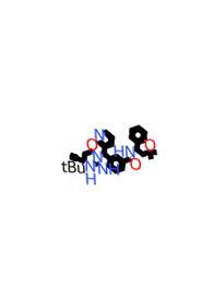 C#C[C@@]1(C(C)(C)C)CC(=O)N(C(c2cccnc2)c2cccc(C(=O)N[C@H]3CC(C)(C)Oc4ccccc43)c2)C(=N)N1